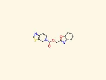 O=C(OCc1nc2ccccc2o1)N1C=Cc2ncsc2C1